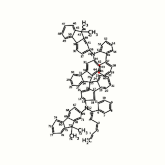 C=C/C=C\C=C(/c1ccccc1)N(c1ccc2c(c1)-c1ccccc1C21c2ccccc2-c2cc(N(c3ccc4c(c3)C(C)(C)c3ccccc3-4)c3ccccc3-c3ccccc3)ccc21)c1ccc2c(c1)C(C)(C)c1ccccc1-2